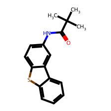 CC(C)(C)C(=O)Nc1ccc2sc3ccccc3c2c1